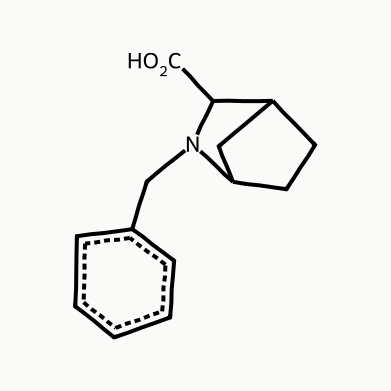 O=C(O)C1C2CCC(C2)N1Cc1ccccc1